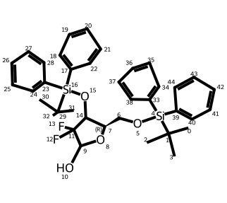 CC(C)(C)[Si](OC[C@H]1OC(O)C(F)(F)C1O[Si](c1ccccc1)(c1ccccc1)C(C)(C)C)(c1ccccc1)c1ccccc1